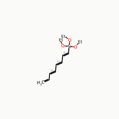 C=C/C=C/C=C/C=C/[Si](OCC)(OCC)OCC